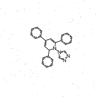 C1=C(c2ccccc2)C=C(c2ccccc2)N(n2cnnc2)C1c1ccccc1